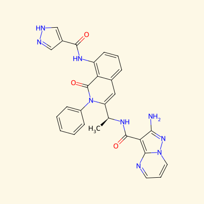 C[C@H](NC(=O)c1c(N)nn2cccnc12)c1cc2cccc(NC(=O)c3cn[nH]c3)c2c(=O)n1-c1ccccc1